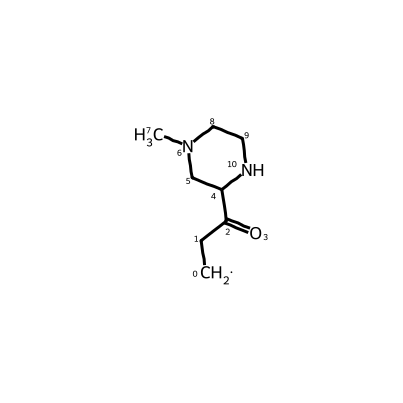 [CH2]CC(=O)C1CN(C)CCN1